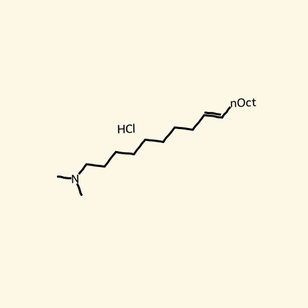 CCCCCCCCC=CCCCCCCCCN(C)C.Cl